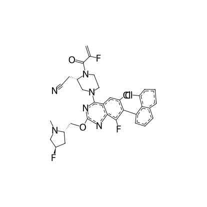 C=C(F)C(=O)N1CCN(c2nc(OC[C@@H]3C[C@@H](F)CN3C)nc3c(F)c(-c4cccc5cccc(Cl)c45)c(Cl)cc23)C[C@@H]1CC#N